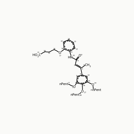 CCCCCOc1cc(C(C)=CC(=O)Nc2ccccc2OCCCC(=O)O)cc(OCCCCC)c1OCCCCC